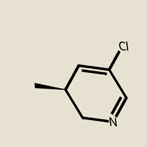 C[C@H]1C=C(Cl)C=NC1